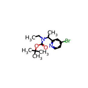 CCN(C(=O)OC(C)(C)C)C(C)c1cc(Br)ccn1